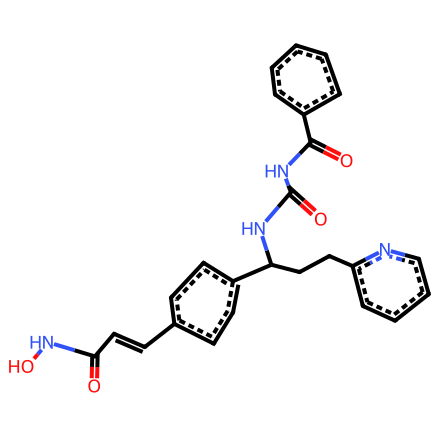 O=C(C=Cc1ccc(C(CCc2ccccn2)NC(=O)NC(=O)c2ccccc2)cc1)NO